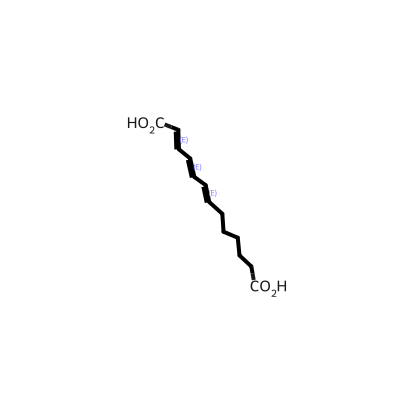 O=C(O)/C=C/C=C/C=C/CCCCCC(=O)O